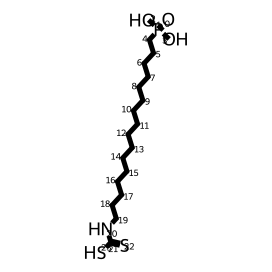 O=P(O)(O)CCCCCCCCCCCCCCCCNC(=S)S